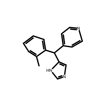 Cc1ccccc1C(c1ccncc1)c1cnc[nH]1